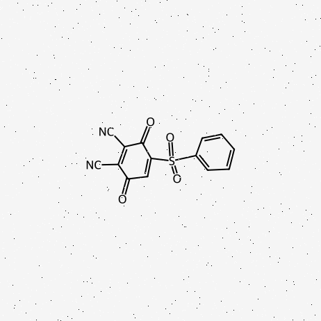 N#CC1=C(C#N)C(=O)C(S(=O)(=O)c2ccccc2)=CC1=O